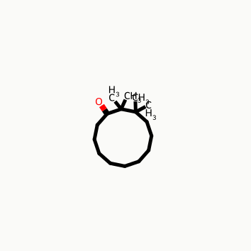 CC1(C)CCCCCCCCCC(=O)C1(C)C